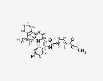 CCOC(=O)N1CCN(c2nc(-c3ccc(F)cc3)c(-c3ccnc(N[C@@H](C)c4ccccc4)n3)o2)CC1